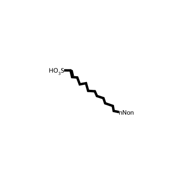 CCCCCCCCCCCCCCCCCCC/C=C/S(=O)(=O)O